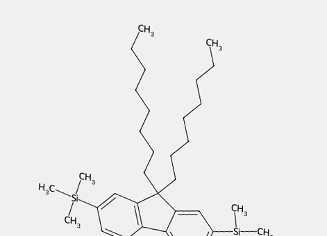 CCCCCCCCC1(CCCCCCCC)c2cc([Si](C)(C)C)ccc2-c2ccc([Si](C)(C)C)cc21